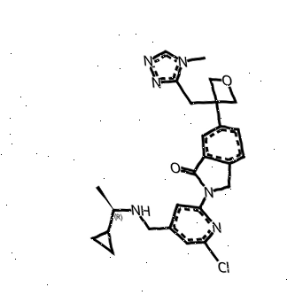 C[C@@H](NCc1cc(Cl)nc(N2Cc3ccc(C4(Cc5nncn5C)COC4)cc3C2=O)c1)C1CC1